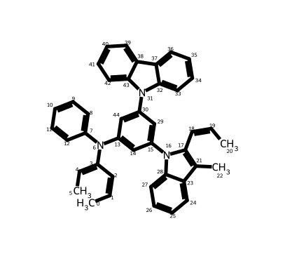 C/C=C\C(=C/C)N(c1ccccc1)c1cc(-n2c(/C=C\C)c(C)c3ccccc32)cc(-n2c3ccccc3c3ccccc32)c1